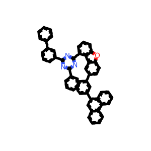 c1ccc(-c2cccc(-c3nc(-c4ccccc4)nc(-c4cccc5oc6ccc(-c7cccc(-c8cc9ccccc9c9ccccc89)c7)cc6c45)n3)c2)cc1